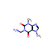 Cn1cnc2c1c(=O)n(CN)c(=O)n2C